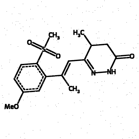 COc1ccc(S(C)(=O)=O)c(C(C)=CC2=NNC(=O)CC2C)c1